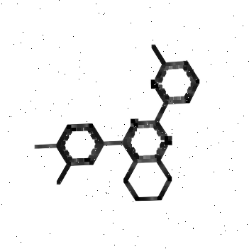 Cc1cccc(-c2nc3c(c(-c4ccc(C)c(C)c4)n2)CCCC3)n1